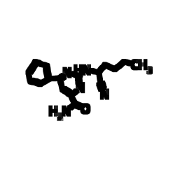 CCCCC(C#N)Nc1nc(C(N)=O)cc(-c2ccccc2)n1